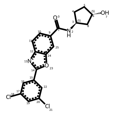 O=C(N[C@H]1CC[C@H](O)C1)c1ccc2nc(-c3cc(Cl)cc(Cl)c3)oc2c1